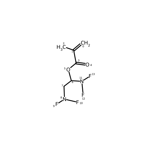 C=C(C)C(=O)OC(CN(F)F)N(F)F